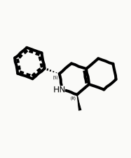 C[C@H]1N[C@H](c2ccccc2)CC2=C1CCCC2